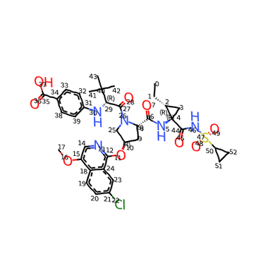 CC[C@@H]1C[C@]1(NC(=O)[C@@H]1C[C@@H](Oc2ncc(OC)c3ccc(Cl)cc23)CN1C(=O)[C@H](Nc1ccc(C(=O)O)cc1)C(C)(C)C)C(=O)NS(=O)(=O)C1CC1